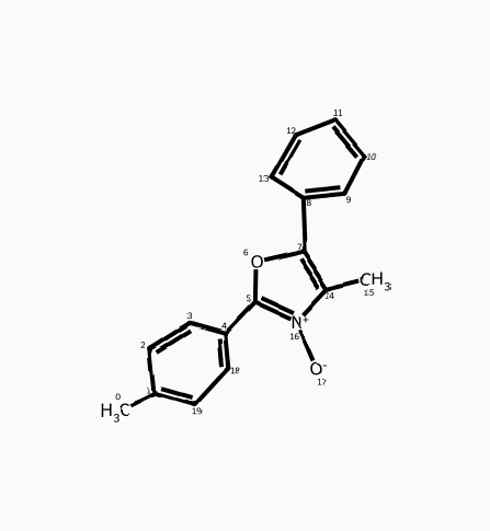 Cc1ccc(-c2oc(-c3ccccc3)c(C)[n+]2[O-])cc1